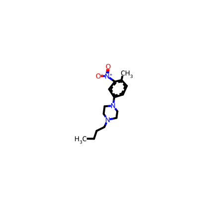 CCCCN1CCN(c2ccc(C)c([N+](=O)[O-])c2)CC1